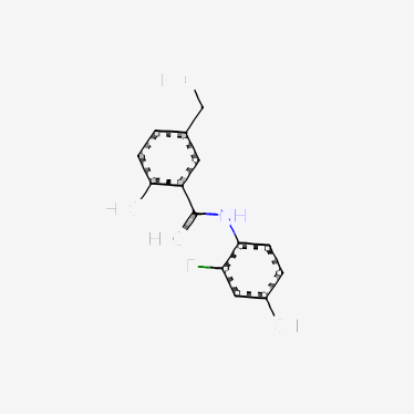 C=C(Nc1ccc(C)cc1F)c1cc(CC)ccc1C